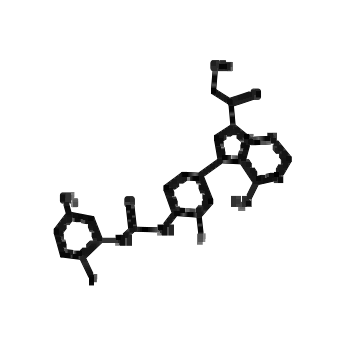 CC(=O)OCC(=O)c1cc(-c2ccc(NC(=O)Nc3cc(C(F)(F)F)ccc3F)c(F)c2)c2c(N)ncnn12